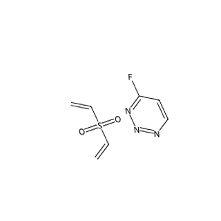 C=CS(=O)(=O)C=C.Fc1ccnnn1